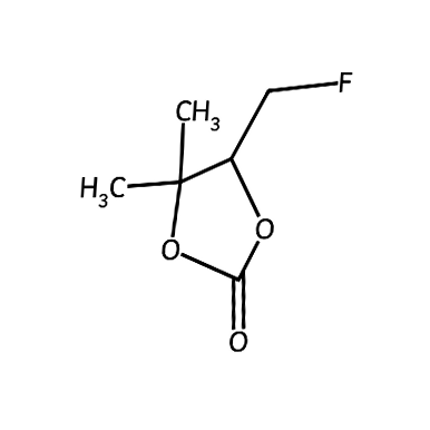 CC1(C)OC(=O)OC1CF